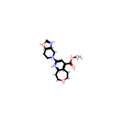 COC(=O)c1cc(N2CCc3ocnc3C2)nc2c1CCOCC2